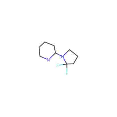 FC1(F)CCCN1C1CCCC[N]1